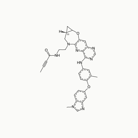 CC#CC(=O)NCCN1C[C@@H]2CC2Oc2cc3ncnc(Nc4ccc(Oc5ccc6c(c5)ncn6C)c(C)c4)c3nc21